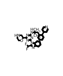 CC(C)(Cc1ccccc1-c1ccncc1)Nc1nc(C2CNCCO2)nc(-n2c(C(F)F)nc3ccccc32)n1